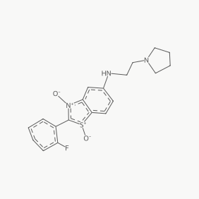 [O-][n+]1c(-c2ccccc2F)[s+]([O-])c2ccc(NCCN3CCCC3)cc21